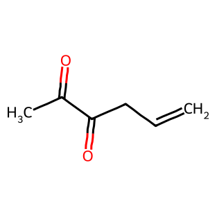 C=CCC(=O)C(C)=O